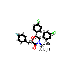 CCCC[C@@H](C(=O)O)N1C(=O)[C@@H](Cc2ccc(F)cc2)O[C@H](c2ccc(Cl)cc2)[C@@H]1c1ccc(Cl)cc1